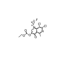 CCOC(=O)Oc1cn([C@@H]2C[C@@H]2F)c2c(Cl)c(Cl)nc(C)c2c1=O